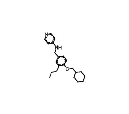 CCCc1cc(CNc2ccncc2)ccc1OCC1CCCCC1